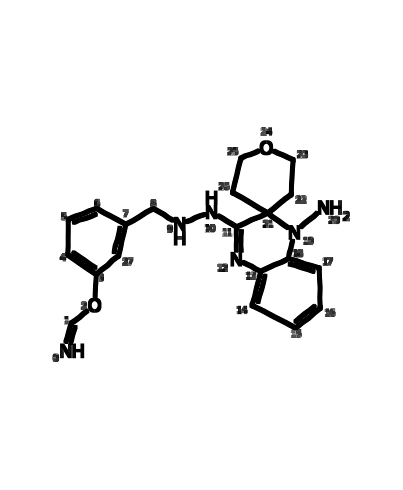 N=COc1cccc(CNNC2=Nc3ccccc3N(N)C23CCOCC3)c1